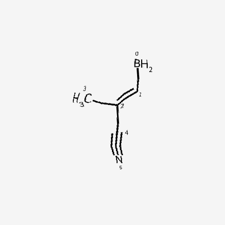 B/C=C(\C)C#N